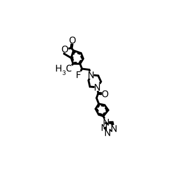 Cc1c(C(F)CN2CCN(C(=O)Cc3ccc(-n4cnnn4)cc3)CC2)ccc2c1COC2=O